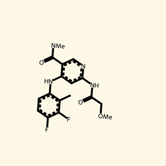 CNC(=O)c1cnc(NC(=O)COC)cc1Nc1ccc(F)c(F)c1C